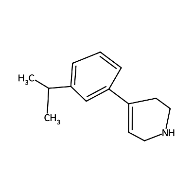 CC(C)c1cccc(C2=CCNCC2)c1